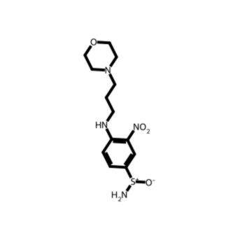 N[S+]([O-])c1ccc(NCCCN2CCOCC2)c([N+](=O)[O-])c1